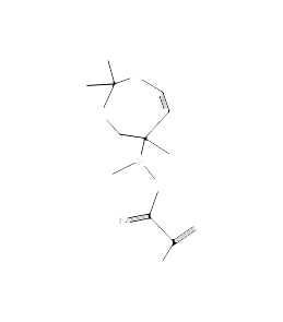 C=C(C)C(=N)ON(C)C1(C)C=COC(C)(C)O[C@H]1C